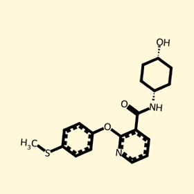 CSc1ccc(Oc2ncccc2C(=O)N[C@H]2CC[C@@H](O)CC2)cc1